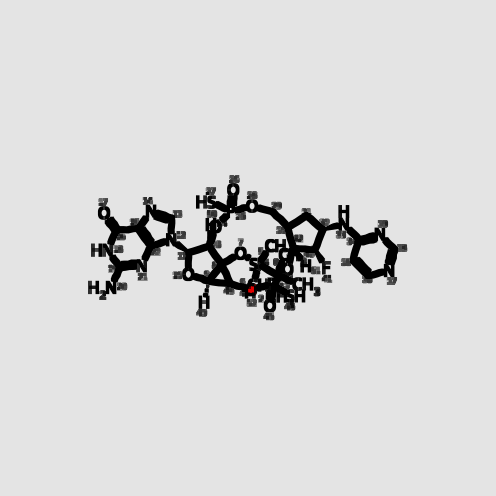 CC(C)(C)[Si](C)(C)OC12[C@@H]3O[C@@H](n4cnc5c(=O)[nH]c(N)nc54)[C@@H]1OP(=O)(S)OCC1C[C@@H](Nc4ccncn4)[C@@H](F)[C@@H]1OP(=O)(S)O[C@@H]32